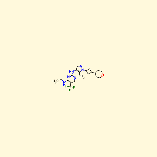 CCNc1nc(Nc2cnn(C3CC(C4CCOCC4)C3)c2C)ncc1C(F)(F)F